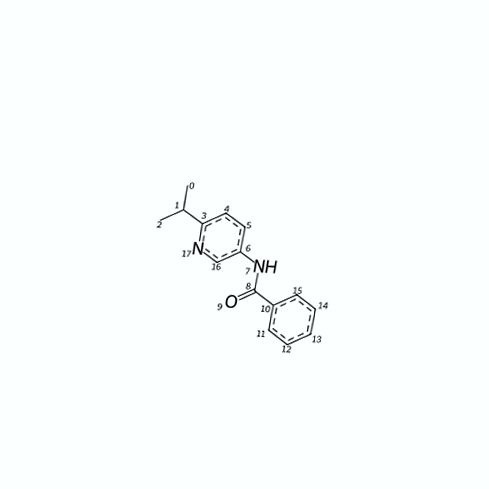 CC(C)c1ccc(NC(=O)c2ccccc2)cn1